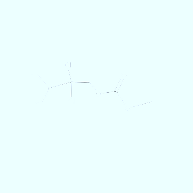 COC(=O)OCC(Cl)(Cl)C(Cl)Cl